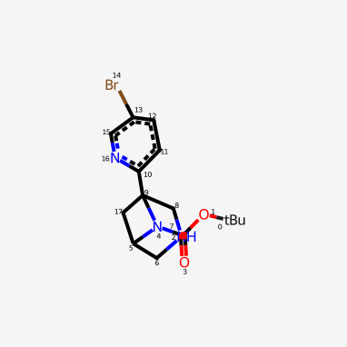 CC(C)(C)OC(=O)N1C2CNCC1(c1ccc(Br)cn1)C2